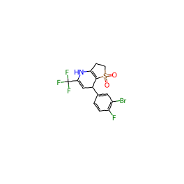 O=S1(=O)CCC2=C1C(c1ccc(F)c(Br)c1)C=C(C(F)(F)F)N2